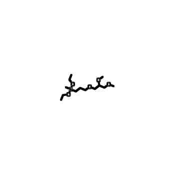 CCO[Si](C)(CCCOCC(COC)OC)OCC